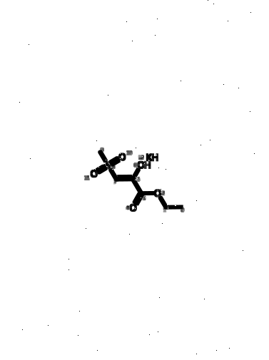 CCOC(=O)C(O)=CS(C)(=O)=O.[KH]